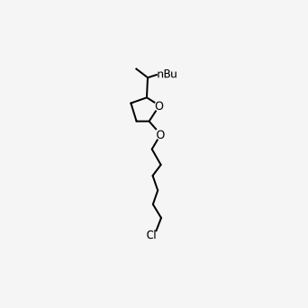 CCCCC(C)C1CCC(OCCCCCCCl)O1